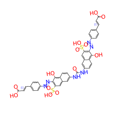 O=C(O)/C=C/c1ccc(/N=N/c2c(S(=O)(=O)O)cc3cc(NC(=O)Nc4ccc5c(O)c(/N=N/c6ccc(/C=C/C(=O)O)cc6)c(S(=O)(=O)O)cc5c4)ccc3c2O)cc1